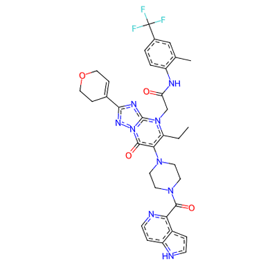 CCc1c(N2CCN(C(=O)c3nccc4[nH]ccc34)CC2)c(=O)n2nc(C3=CCOCC3)nc2n1CC(=O)Nc1ccc(C(F)(F)F)cc1C